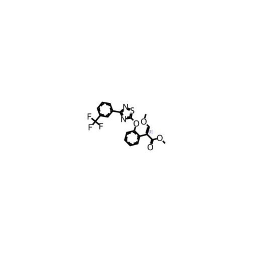 CO/C=C(/C(=O)OC)c1ccccc1Oc1nc(-c2cccc(C(F)(F)F)c2)ns1